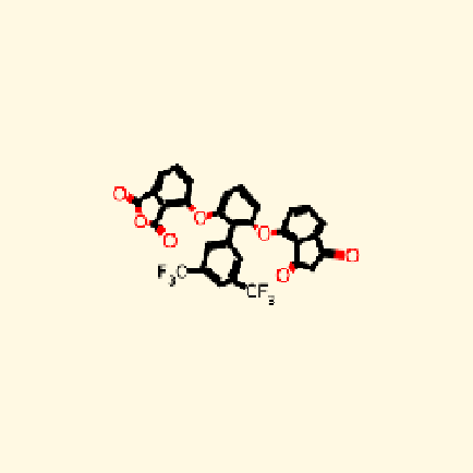 O=C1CC(=O)c2c(Oc3cccc(Oc4cccc5c4C(=O)OC5=O)c3-c3cc(C(F)(F)F)cc(C(F)(F)F)c3)cccc21